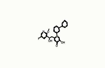 COc1ncc(F)cc1C(O)Cc1cc(=O)c(O)cn1-c1cccc(-c2ccccc2)c1